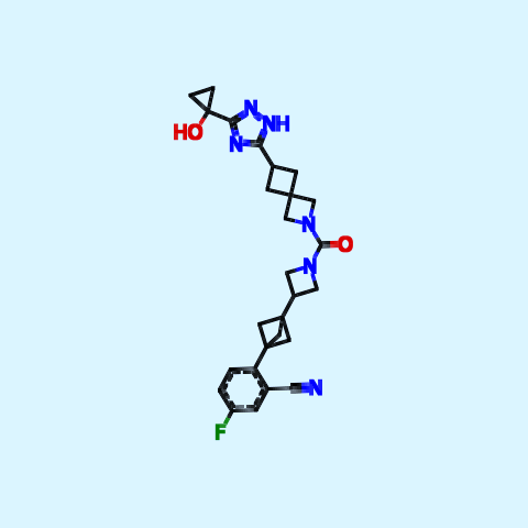 N#Cc1cc(F)ccc1C12CC(C3CN(C(=O)N4CC5(CC(c6nc(C7(O)CC7)n[nH]6)C5)C4)C3)(C1)C2